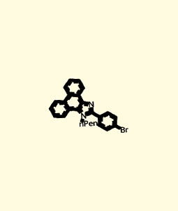 CCCCCn1c(-c2ccc(Br)cc2)nc2c3ccccc3c3ccccc3c21